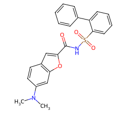 CN(C)c1ccc2cc(C(=O)NS(=O)(=O)c3ccccc3-c3ccccc3)oc2c1